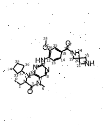 CC[C@@H]1C(=O)N(C)c2cnc(Nc3ccc(C(=O)N4CC5(CNC5)C4)cc3OC)nc2N1C1CCCC1